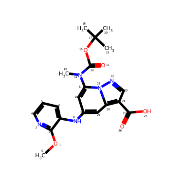 COc1ncccc1Nc1cc(N(C)C(=O)OC(C)(C)C)n2ncc(C(=O)O)c2c1